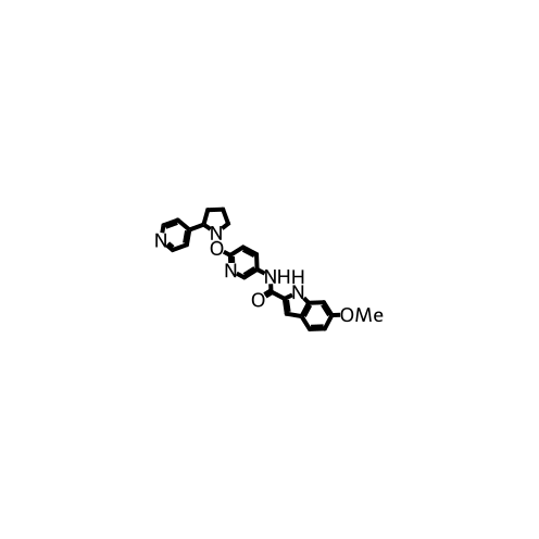 COc1ccc2cc(C(=O)Nc3ccc(ON4CCCC4c4ccncc4)nc3)[nH]c2c1